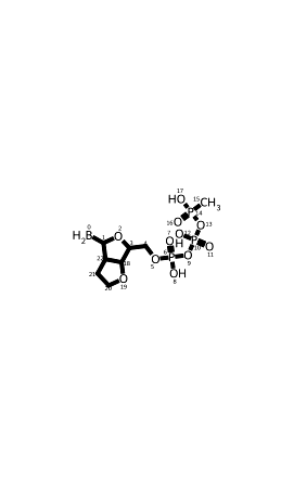 BC1OC(COP(=O)(O)OP(=O)(O)OP(C)(=O)O)C2OCCC12